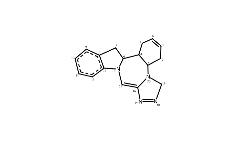 C1=CCC2C(C1)C1Cc3ccccc3N1C=C1N=NCN12